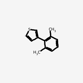 Cc1cccc(C)c1-c1c[c]sc1